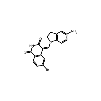 Nc1ccc2c(c1)CCN2C=C1C(=O)NC(=O)c2ccc(Br)cc21